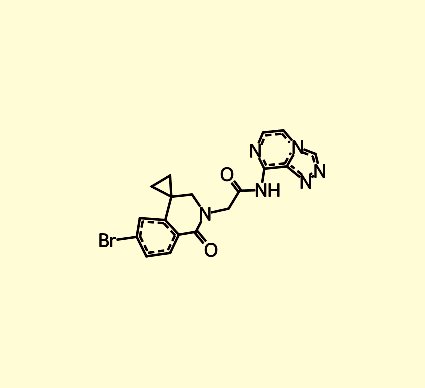 O=C(CN1CC2(CC2)c2cc(Br)ccc2C1=O)Nc1nccn2cnnc12